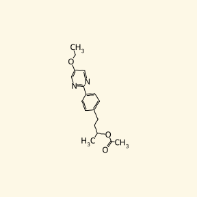 CCOc1cnc(-c2ccc(CCC(C)OC(C)=O)cc2)nc1